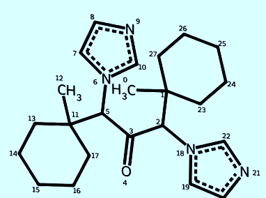 CC1(C(C(=O)C(n2ccnc2)C2(C)CCCCC2)n2ccnc2)CCCCC1